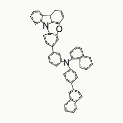 C1=CC2=C3C(C1)c1ccccc1N3c1ccc(-c3cccc(N(c4ccc(-c5ccc6ccccc6c5)cc4)c4cccc5ccccc45)c3)cc1O2